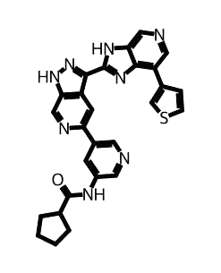 O=C(Nc1cncc(-c2cc3c(-c4nc5c(-c6ccsc6)cncc5[nH]4)n[nH]c3cn2)c1)C1CCCC1